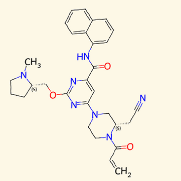 C=CC(=O)N1CCN(c2cc(C(=O)Nc3cccc4ccccc34)nc(OC[C@@H]3CCCN3C)n2)C[C@@H]1CC#N